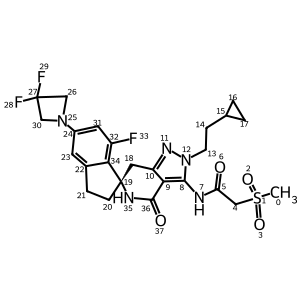 CS(=O)(=O)CC(=O)Nc1c2c(nn1CCC1CC1)C[C@]1(CCc3cc(N4CC(F)(F)C4)cc(F)c31)NC2=O